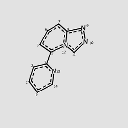 c1ccc(-c2cccc3nncn23)nc1